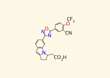 N#Cc1cc(-c2nc(-c3ccc4cc5n(c4c3)C(CC(=O)O)CC5)no2)ccc1OC(F)(F)F